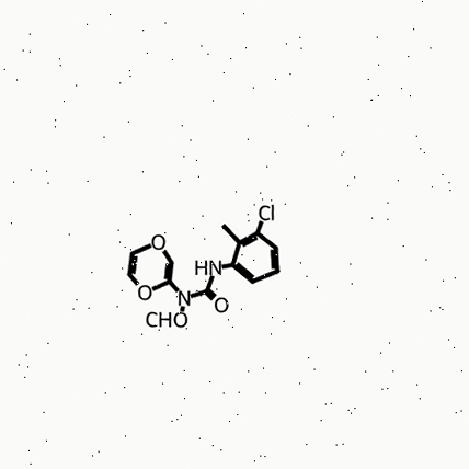 Cc1c(Cl)cccc1NC(=O)N(C=O)C1=COC=CO1